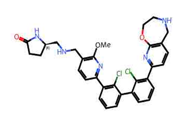 COc1nc(-c2cccc(-c3cccc(-c4ccc5c(n4)OCCNC5)c3Cl)c2Cl)ccc1CNC[C@H]1CCC(=O)N1